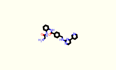 NCC(=O)Nc1ccccc1NC(=O)c1ccc(CNc2nccc(-c3cccnc3)n2)cc1